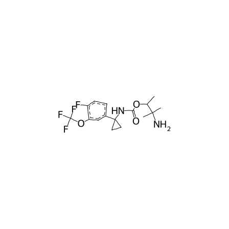 CC(OC(=O)NC1(c2ccc(F)c(OC(F)(F)F)c2)CC1)C(C)(C)N